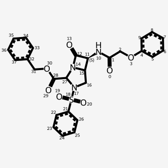 O=C(COc1ccccc1)N[C@@H]1C(=O)N2C1CN(S(=O)(=O)c1ccccc1)C2C(=O)OCc1ccccc1